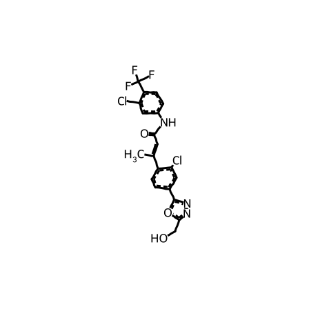 C/C(=C\C(=O)Nc1ccc(C(F)(F)F)c(Cl)c1)c1ccc(-c2nnc(CO)o2)cc1Cl